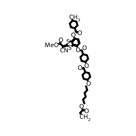 C=CC(=O)OCCCCCCOC1CCC(C(=O)OC2CCC(C(=O)Oc3ccc(OC(=O)C4CCC(C)CC4)c4c3S/C(=C(\C#N)C(=O)OC)S4)CC2)CC1